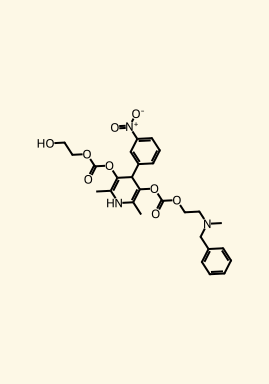 CC1=C(OC(=O)OCCO)C(c2cccc([N+](=O)[O-])c2)C(OC(=O)OCCN(C)Cc2ccccc2)=C(C)N1